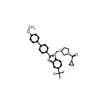 COc1ccc(-c2ccc(-c3nc4cc(C(F)(F)F)ccc4n3C[C@H]3CCN(C(=O)C4CC4)C3)cc2)cc1